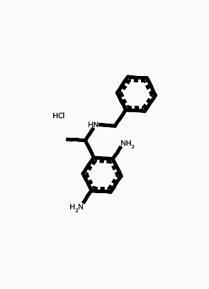 CC(NCc1ccccc1)c1cc(N)ccc1N.Cl